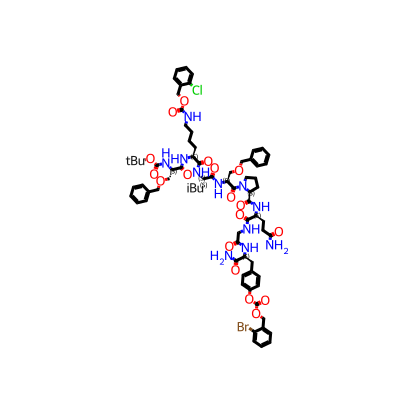 CC[C@H](C)[C@H](NC(=O)[C@H](CCCCNC(=O)OCc1ccccc1Cl)NC(=O)[C@H](COCc1ccccc1)NC(=O)OC(C)(C)C)C(=O)N[C@@H](COCc1ccccc1)C(=O)N1CCC[C@H]1C(=O)N[C@@H](CCC(N)=O)C(=O)NCC(=O)N[C@@H](Cc1ccc(OC(=O)OCc2ccccc2Br)cc1)C(N)=O